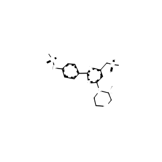 C[C@H]1COCCN1c1cc(CS(C)(=O)=O)nc(-c2ccc(NS(C)(=O)=O)cc2)n1